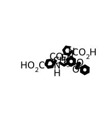 CC1(NCCc2cc(S(=O)(=O)c3ccccc3)ccc2F)C=CC(C(=O)O)=CC1C(=O)O.O=C(O)N1CCCCC1